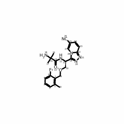 Cc1cccc(F)c1COC[C@@H](NC(=O)C(C)(C)N)c1nnc2ccc(C#N)cn12